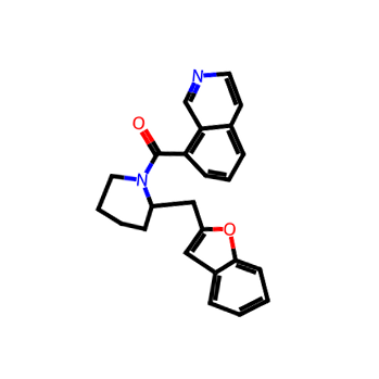 O=C(c1cccc2ccncc12)N1CCCCC1Cc1cc2ccccc2o1